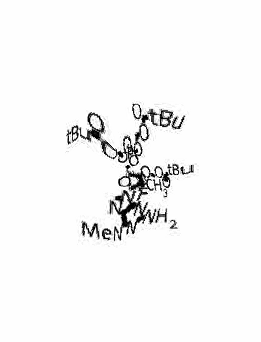 CNc1nc(N)nc2c1ncn2[C@@H]1O[C@H](COP(=O)(OCOC(=O)C(C)(C)C)OCOC(=O)C(C)(C)C)[C@@H](OCOC(=O)C(C)(C)C)[C@@]1(C)F